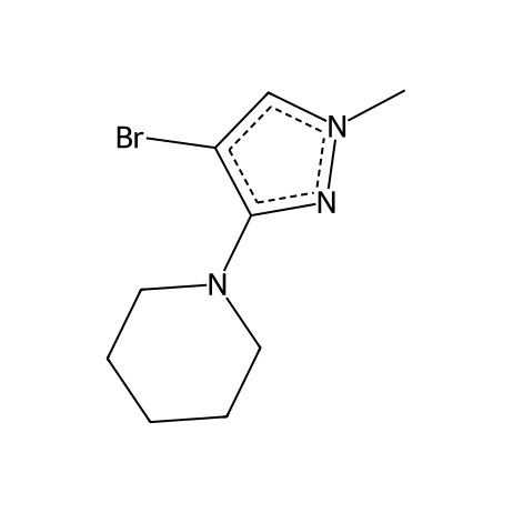 Cn1cc(Br)c(N2CCCCC2)n1